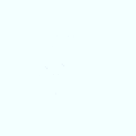 O=C(CN(Cc1ccccc1Cl)S(=O)(=O)c1c(F)c(F)c(F)c(F)c1F)N(Cc1ccc(C2CCCCC2)cc1)c1ccc(C(O)O)c(O)c1